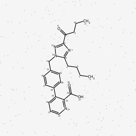 CCCCc1nc(C(=O)CCC)nn1Cc1ccc(-c2cccnc2C(=O)O)cc1